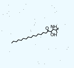 CCCCCCCCCCCCCCCC(=O)C(O)[C@@H](N)C(C)C